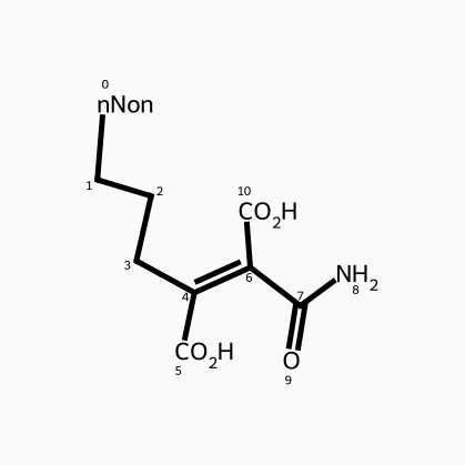 CCCCCCCCCCCC/C(C(=O)O)=C(/C(N)=O)C(=O)O